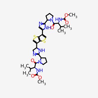 COC(=O)N[C@H](C(=O)N1CCCC1C1=NCC(c2csc3c(-c4cnc(C5CCCN5C(=O)[C@@H](NC(=O)OC)C(C)C)[nH]4)csc23)N1)C(C)C